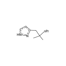 CCCC(C)(C)Cc1cc[nH]n1